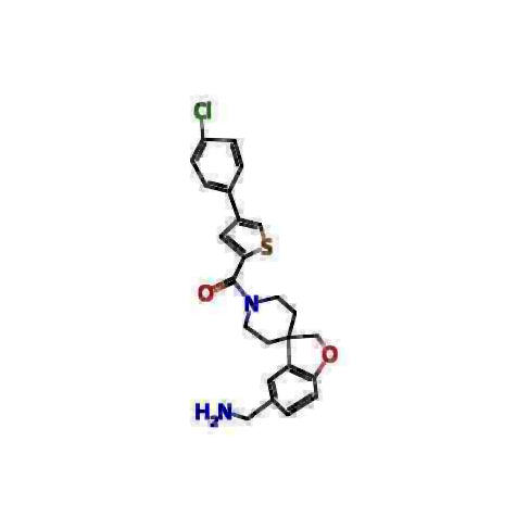 NCc1ccc2c(c1)C1(CCN(C(=O)c3cc(-c4ccc(Cl)cc4)cs3)CC1)CO2